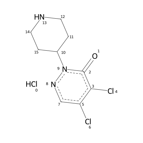 Cl.O=c1c(Cl)c(Cl)cnn1C1CCNCC1